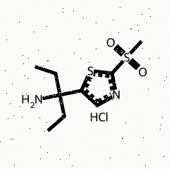 CCC(N)(CC)c1cnc(S(C)(=O)=O)s1.Cl